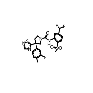 Cc1ccc([C@@]2(c3ncns3)CCN(C(=O)Nc3cc(C(F)F)ccc3S(C)(=O)=O)C2)cc1F